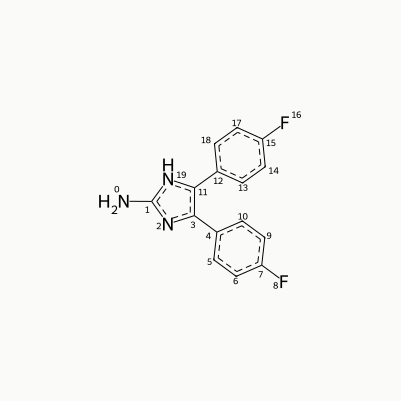 Nc1nc(-c2ccc(F)cc2)c(-c2ccc(F)cc2)[nH]1